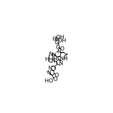 C=C(F)/C=C(\c1[nH]c2ncc(-c3cnc4c(c3)c(=O)c(C(=O)O)cn4C)c(N3CC[C@H]4CN(C)C[C@H]43)c2c1C#N)N(C)C(=O)OCOP(=O)(O)O